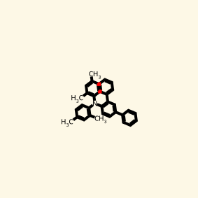 Cc1ccc(N(c2ccc(C)cc2C)c2ccc(-c3ccccc3)cc2-c2ccccc2)c(C)c1